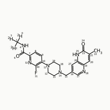 [2H]C([2H])([2H])NC(=O)c1ccc(N2CCN(Cc3cnc4cc(C)c(=O)[nH]c4c3)CC2)c(F)n1